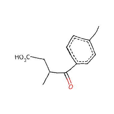 Cc1ccc(C(=O)C(C)CC(=O)O)cc1